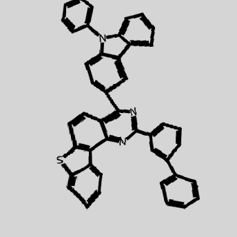 c1ccc(-c2cccc(-c3nc(-c4ccc5c(c4)c4ccccc4n5-c4ccccc4)c4ccc5sc6ccccc6c5c4n3)c2)cc1